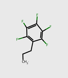 [CH2]CCc1c(F)c(F)c(F)c(F)c1F